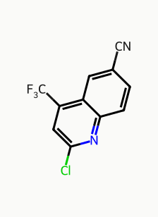 N#Cc1ccc2nc(Cl)cc(C(F)(F)F)c2c1